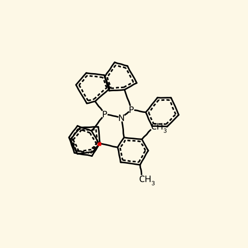 Cc1cc(C)c(N(P(c2ccccc2)c2ccccc2)P(c2ccccc2)c2ccccc2)c(-c2ccccc2)c1